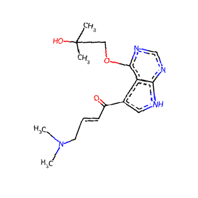 CN(C)C/C=C/C(=O)c1c[nH]c2ncnc(OCC(C)(C)O)c12